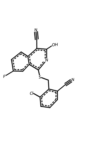 N#Cc1cccc(Cl)c1CSc1nc(O)c(C#N)c2ccc(F)cc12